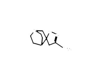 COC1=NOC2(C1)CN1CCC2CC1